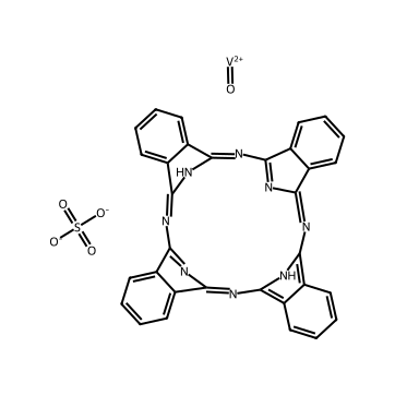 O=S(=O)([O-])[O-].[O]=[V+2].c1ccc2c(c1)-c1nc-2nc2[nH]c(nc3nc(nc4[nH]c(n1)c1ccccc41)-c1ccccc1-3)c1ccccc21